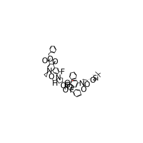 CC(C)(C)[Si](C)(C)OC[C@H]1CN(c2ccc(OC[C@]3(OP(=O)(OCc4ccccc4)OCc4ccccc4)C[C@H]4COc5c(c(F)cc6c(=O)c(C(=O)OCc7ccccc7)cn(C7CC7)c56)N4C3)c(F)c2)C(=O)O1